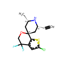 C#C[C@@H]1C[C@]2(C[C@H](C)N1)OCC(F)(F)c1cc(Cl)sc12